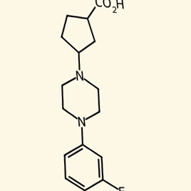 O=C(O)C1CCC(N2CCN(c3cccc(F)c3)CC2)C1